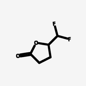 O=C1CCC(C(F)F)O1